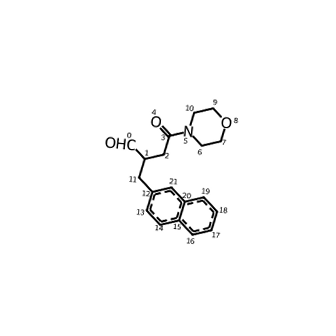 O=CC(CC(=O)N1CCOCC1)Cc1ccc2ccccc2c1